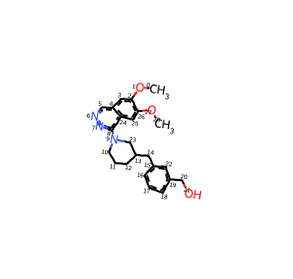 COc1cc2cnnc(N3CCCC(Cc4cccc(CO)c4)C3)c2cc1OC